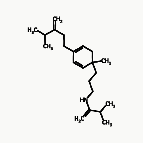 C=C(CCC1=CCC(C)(CCCNC(=C)C(C)C)C=C1)C(C)C